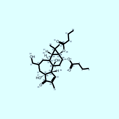 CCCC(=O)O[C@@H]1C[C@@]2(O)[C@@H](CC(CO)C[C@]3(O)C(=O)C(C)=C[C@@H]23)[C@@H]2C(C)(C)[C@@]21OC(=O)CCC